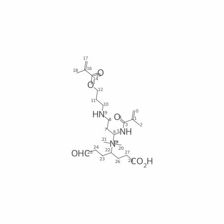 C=C(C)C(=O)NC(CCNCCCOC(=O)C(=C)C)[N+](C)(C)C(CCC=O)CCC(=O)O